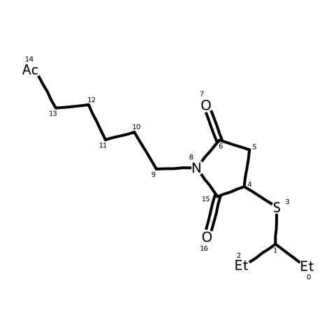 CCC(CC)SC1CC(=O)N(CCCCCC(C)=O)C1=O